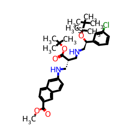 COC(=O)c1ccc2cc(NC[C@@H](CNC[C@@H](O[Si](C)(C)C(C)(C)C)c3cccc(Cl)c3)C(=O)OC(C)(C)C)ccc2c1